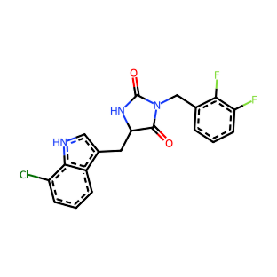 O=C1NC(Cc2c[nH]c3c(Cl)cccc23)C(=O)N1Cc1cccc(F)c1F